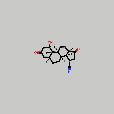 C[C@]12[C@@H](CC[C@H]3[C@@H]4[C@H](C#N)CC(=O)[C@@]4(C)CC[C@@H]31)CC(=O)C[C@@]2(C)O